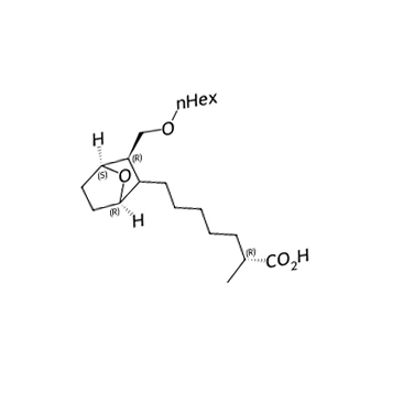 CCCCCCOC[C@H]1C(CCCCC[C@@H](C)C(=O)O)[C@H]2CC[C@@H]1O2